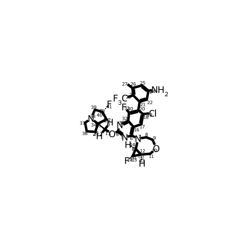 [2H]C([2H])(Oc1nc(N2CCOC[C@H]3[C@H](F)[C@H]32)c2cc(Cl)c(-c3cc(N)cc(C)c3C(F)(F)F)c(F)c2n1)[C@@]12CCCN1C[C@H](F)C2